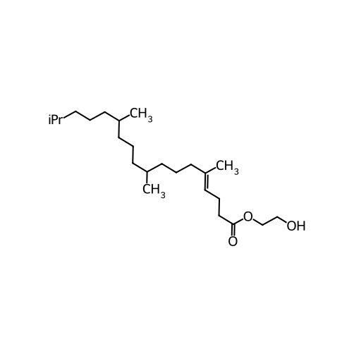 CC(=CCCC(=O)OCCO)CCCC(C)CCCC(C)CCCC(C)C